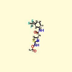 CC(=O)ONc1nc(CC(=O)Nc2cccc(C(F)(F)F)c2)cs1